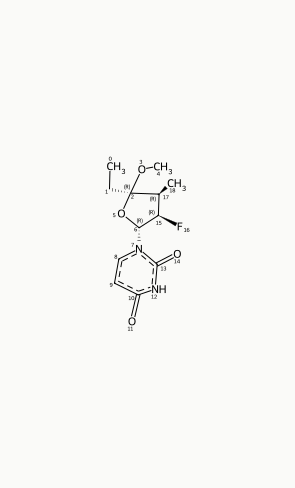 CC[C@@]1(OC)O[C@@H](n2ccc(=O)[nH]c2=O)[C@H](F)[C@@H]1C